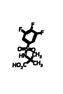 CC(C)(NS(=O)(=O)c1cc(F)c(F)c(F)c1)C(=O)O